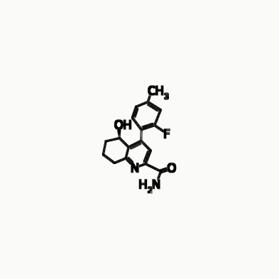 Cc1ccc(-c2cc(C(N)=O)nc3c2[C@H](O)CCC3)c(F)c1